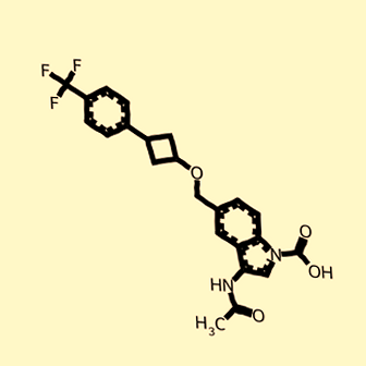 CC(=O)Nc1cn(C(=O)O)c2ccc(COC3CC(c4ccc(C(F)(F)F)cc4)C3)cc12